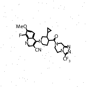 COc1ccc2c(N3CCC(C(=O)N4CCn5c(nnc5C(F)(F)F)C4)C(C4CC4)C3)c(C#N)cnc2c1F